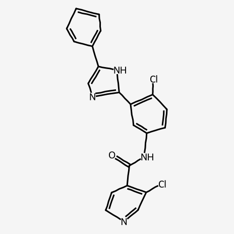 O=C(Nc1ccc(Cl)c(-c2ncc(-c3ccccc3)[nH]2)c1)c1ccncc1Cl